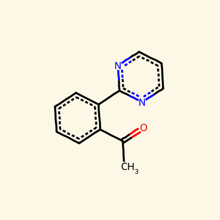 CC(=O)c1ccccc1-c1ncccn1